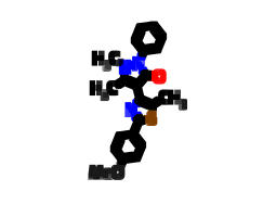 COc1ccc(-c2nc(-c3c(C)n(C)n(-c4ccccc4)c3=O)c(C)s2)cc1